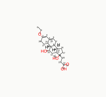 CCOC1=CC2=CC[C@@H]3[C@H](C(O)C[C@@]4(C)[C@H]3CC[C@]4(O)CCC(=O)O)[C@@]2(C)CC1